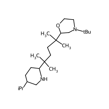 CC(C)C1CCC(C(C)(C)CCC(C)(C)C2CN(C(C)(C)C)CCO2)NC1